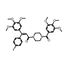 COc1cc(C(=O)N2CCN(C(=O)/C=C(\c3ccc(F)cc3)c3cc(OC)c(OC)c(OC)c3)CC2)cc(OC)c1OC